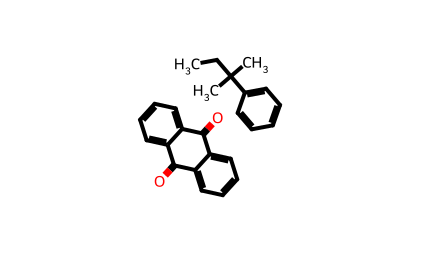 CCC(C)(C)c1ccccc1.O=C1c2ccccc2C(=O)c2ccccc21